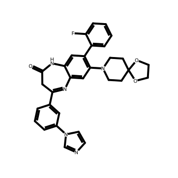 O=C1CC(c2cccc(-n3ccnc3)c2)=Nc2cc(N3CCC4(CC3)OCCO4)c(-c3ccccc3F)cc2N1